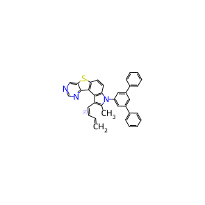 C=C/C=C\c1c(C)n(-c2cc(-c3ccccc3)cc(-c3ccccc3)c2)c2ccc3sc4cncnc4c3c12